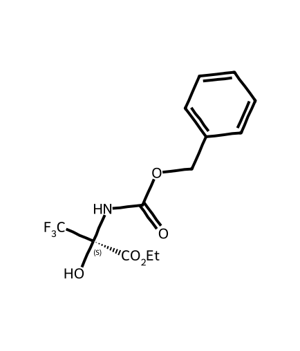 CCOC(=O)[C@@](O)(NC(=O)OCc1ccccc1)C(F)(F)F